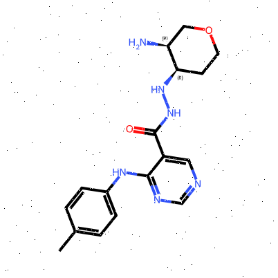 Cc1ccc(Nc2ncncc2C(=O)NN[C@@H]2CCOC[C@@H]2N)cc1